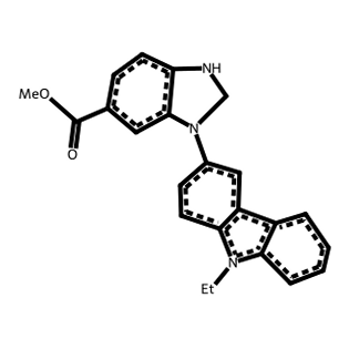 CCn1c2ccccc2c2cc(N3CNc4ccc(C(=O)OC)cc43)ccc21